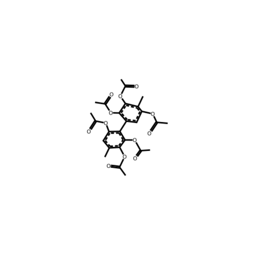 CC(=O)Oc1cc(-c2c(OC(C)=O)cc(C)c(OC(C)=O)c2OC(C)=O)c(OC(C)=O)c(OC(C)=O)c1C